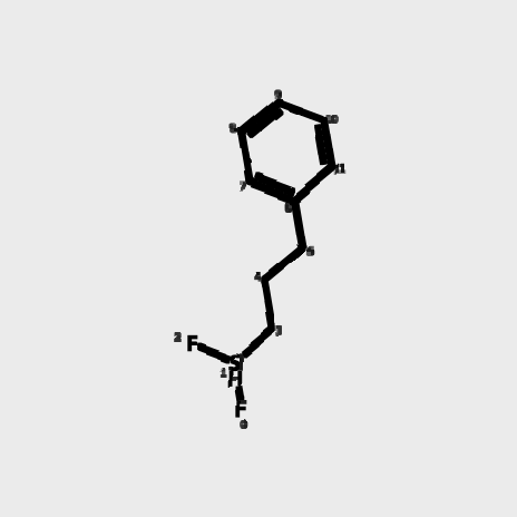 F[SiH](F)CCCc1ccccc1